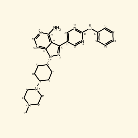 CN1CCN([C@H]2CC[C@@H](n3nc(-c4cnc(Oc5ccccc5)nc4)c4c(N)ncnc43)CC2)CC1